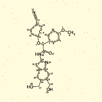 COc1ccc(C(Oc2ccc(C#N)cc2)C(=O)Nc2nc3cc(CO)c(CO)cc3s2)cc1